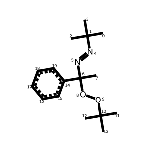 CC(C)(C)N=NC(C)(OOC(C)(C)C)c1ccccc1